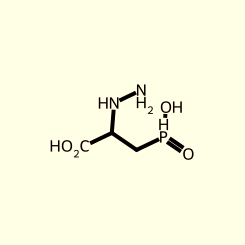 NNC(C[PH](=O)O)C(=O)O